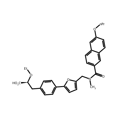 CCCOc1ccc2cc(C(=O)N(C)Cc3ccc(-c4ccc(C[C@H](OCC)C(=O)O)cc4)o3)ccc2c1